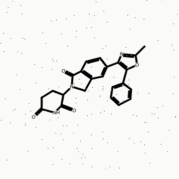 Cc1nc(-c2ccc3c(c2)CN(C2CCC(=O)NC2=O)C3=O)c(-c2ccccc2)o1